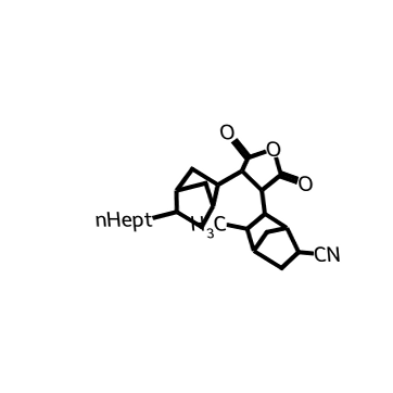 CCCCCCCC1CC2CC1CC2C1C(=O)OC(=O)C1C1C(C)C2CC(C#N)C1C2